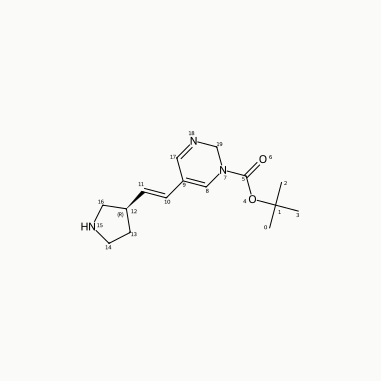 CC(C)(C)OC(=O)N1C=C(C=C[C@H]2CCNC2)C=NC1